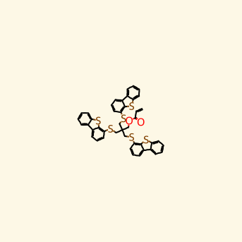 C=CC(=O)OCC(CSc1cccc2c1sc1ccccc12)(CSc1cccc2c1sc1ccccc12)CSc1cccc2c1sc1ccccc12